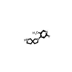 Cc1cnc(F)cc1N1CCC2(CCNC2)C1